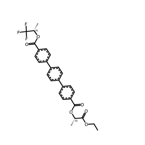 CCOC(=O)[C@H](C)OC(=O)c1ccc(-c2ccc(-c3ccc(C(=O)O[C@@H](C)C(F)(F)F)cc3)cc2)cc1